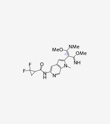 CN/C(OC)=C(\C(=N)OC)c1cc2cc(NC(=O)C3CC3(F)F)ncc2n1C